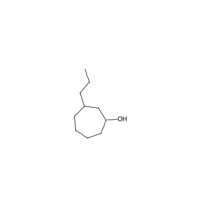 CCCC1CCCCC(O)C1